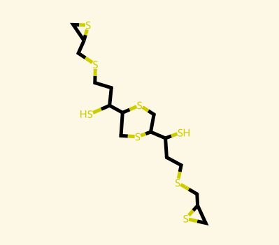 SC(CCSCC1CS1)C1CSC(C(S)CCSCC2CS2)CS1